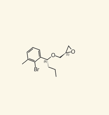 CCC[C@@H](OC[C@H]1CO1)c1cccc(C)c1Br